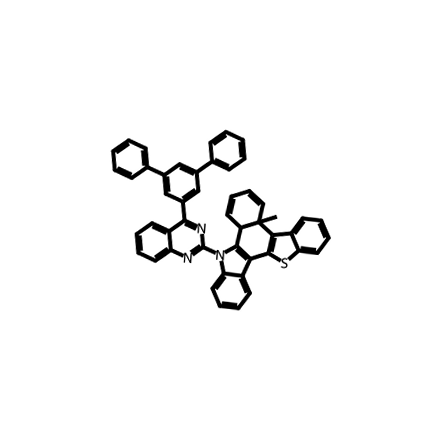 CC12C=CC=CC1c1c(c3ccccc3n1-c1nc(-c3cc(-c4ccccc4)cc(-c4ccccc4)c3)c3ccccc3n1)-c1sc3ccccc3c12